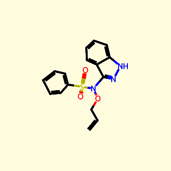 C=CCON(c1n[nH]c2ccccc12)S(=O)(=O)c1ccccc1